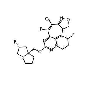 FC1=C(Cl)C2=NOCC2C2=C3C1=NC(OC[C@@]14CCCN1C[C@H](F)C4)=NN3CCC2F